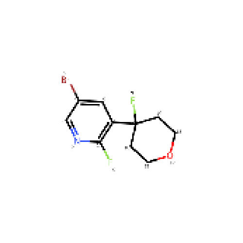 Fc1ncc(Br)cc1C1(F)CCOCC1